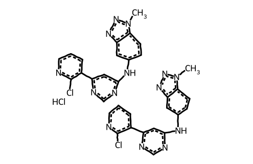 Cl.Cn1nnc2cc(Nc3cc(-c4cccnc4Cl)ncn3)ccc21.Cn1nnc2cc(Nc3cc(-c4cccnc4Cl)ncn3)ccc21